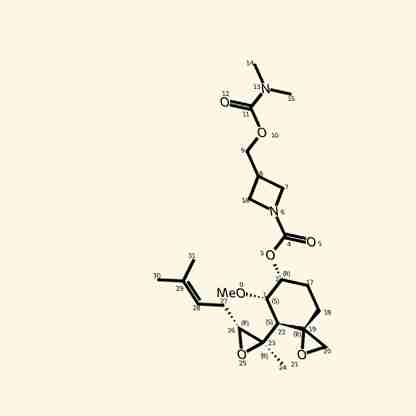 CO[C@@H]1[C@H](OC(=O)N2CC(COC(=O)N(C)C)C2)CC[C@]2(CO2)[C@H]1[C@@]1(C)O[C@@H]1CC=C(C)C